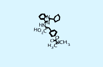 CN(C)C(=O)Oc1ccc(C[C@H](Nc2nc(C3CCCCC3)nc3ccccc23)C(=O)O)cc1